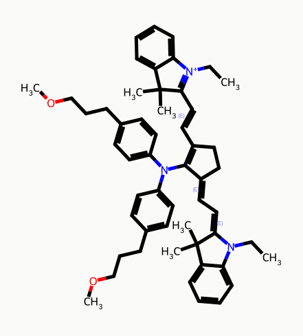 CCN1/C(=C/C=C2\CCC(/C=C/C3=[N+](CC)c4ccccc4C3(C)C)=C2N(c2ccc(CCCOC)cc2)c2ccc(CCCOC)cc2)C(C)(C)c2ccccc21